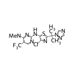 CNc1nc(Nc2sc(C(C)(C)n3cncn3)nc2Cl)ncc1C(F)(F)F